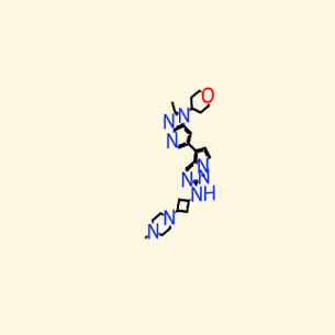 Cc1nc2ncc(-c3ccn4nc(N[C@H]5C[C@H](N6CCN(C)CC6)C5)ncc34)cc2n1C1CCOCC1